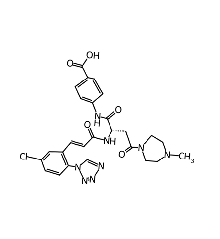 CN1CCN(C(=O)C[C@H](NC(=O)C=Cc2cc(Cl)ccc2-n2cnnn2)C(=O)Nc2ccc(C(=O)O)cc2)CC1